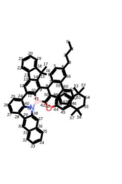 CCCCc1ccc(C2c3c4c(cc5c3C(C)(C)c3ccccc3-5)-c3cccc5c6cc7ccccc7cc6n(c35)B4c3oc4cc5c(cc4c32)C(C)(C)CCC5(C)C)c(-c2ccccc2)c1